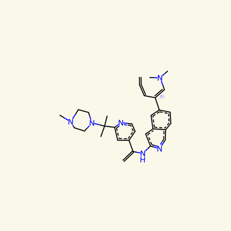 C=C=C/C(=C\N(C)C)c1ccc2cnc(NC(=C)c3ccnc(C(C)(C)N4CCN(C)CC4)c3)cc2c1